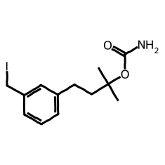 CC(C)(CCc1cccc(CI)c1)OC(N)=O